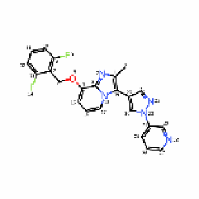 Cc1nc2c(OCc3c(F)cccc3F)cccn2c1-c1cnn(-c2cccnc2)c1